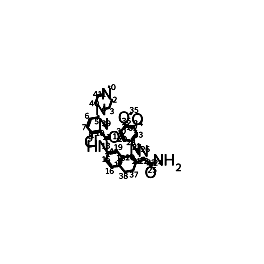 CN1CCN(c2ccc(Cl)c(C(=O)Nc3ccc4c(c3)-c3c(c(C(N)=O)nn3-c3ccc5c(c3)OCO5)CC4)n2)CC1